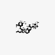 CCCN(C[C@H]1CCc2cc(-c3nc(OC)n(C)n3)c(C)nc2N1)C(=O)[C@H](C)c1cc(OC)ncc1F